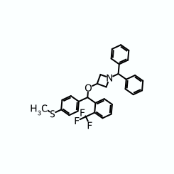 CSc1ccc(C(OC2CN(C(c3ccccc3)c3ccccc3)C2)c2ccccc2C(F)(F)F)cc1